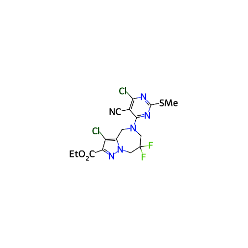 CCOC(=O)c1nn2c(c1Cl)CN(c1nc(SC)nc(Cl)c1C#N)CC(F)(F)C2